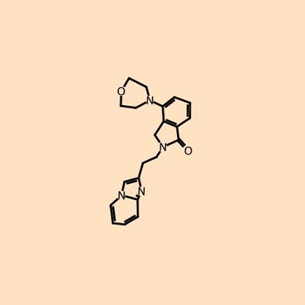 O=C1c2cccc(N3CCOCC3)c2CN1CCc1cn2ccccc2n1